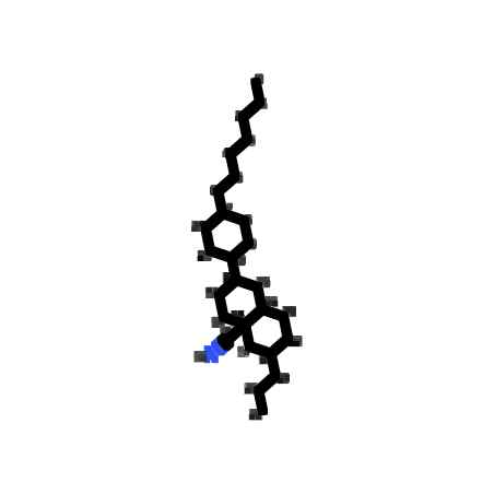 CCCCCCCC1CCC(C2CCC3(C#N)CC(CCC)CCC3C2)CC1